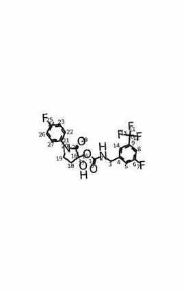 O=C(NCc1cc(F)cc(C(F)(F)F)c1)O[C@@]1(O)CCN(c2ccc(F)cc2)C1=O